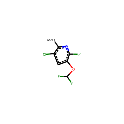 COc1nc(Br)c(OC(F)F)cc1Cl